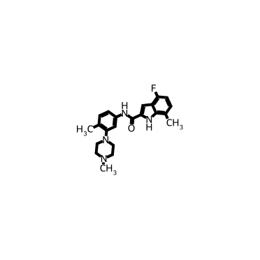 Cc1ccc(NC(=O)c2cc3c(F)ccc(C)c3[nH]2)cc1N1CCN(C)CC1